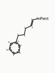 CCCCCC=CCCCc1ccccc1